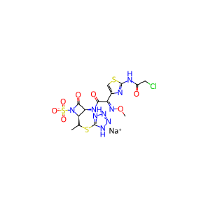 CON=C(C(=O)N[C@@H]1C(=O)N(S(=O)(=O)[O-])[C@@H]1C(C)Sc1nnn[nH]1)c1csc(NC(=O)CCl)n1.[Na+]